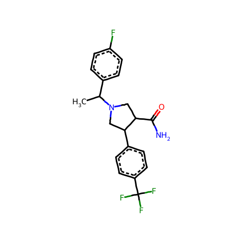 CC(c1ccc(F)cc1)N1CC(C(N)=O)C(c2ccc(C(F)(F)F)cc2)C1